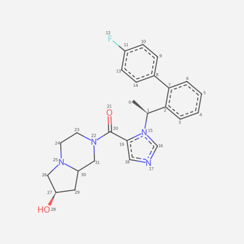 C[C@@H](c1ccccc1-c1ccc(F)cc1)n1cncc1C(=O)N1CCN2C[C@H](O)CC2C1